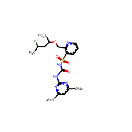 COc1cc(OC)nc(NC(=O)NS(=O)(=O)c2cccnc2COC(CC(C)F)C(=O)O)n1